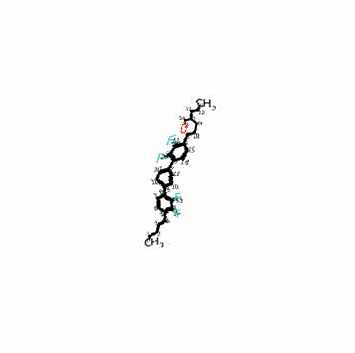 CCCCCc1ccc(-c2ccc(-c3ccc(C4CCC(CCC)CO4)c(F)c3F)cc2)c(F)c1F